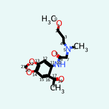 COCCCN(C)CC(=O)Nc1cc2c(cc1C(C)=O)OCO2